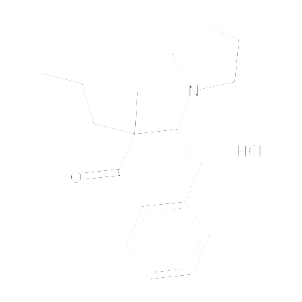 CCCC1(C)C(=O)c2ccccc2C=C1N1CCCC1.Cl